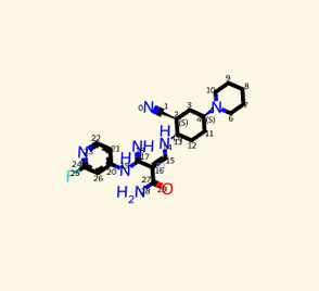 N#C[C@H]1C[C@@H](N2CCCCC2)CC[C@@H]1N/C=C(\C(=N)Nc1ccnc(F)c1)C(N)=O